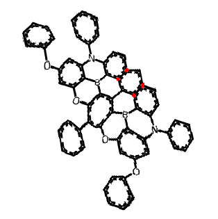 c1ccc(Oc2cc3c4c(c2)N(c2ccccc2)c2ccccc2B4c2c(c(-c4ccccc4)c4c(c2-c2ccccc2)B2c5ccccc5N(c5ccccc5)c5cc(Oc6ccccc6)cc(c52)O4)O3)cc1